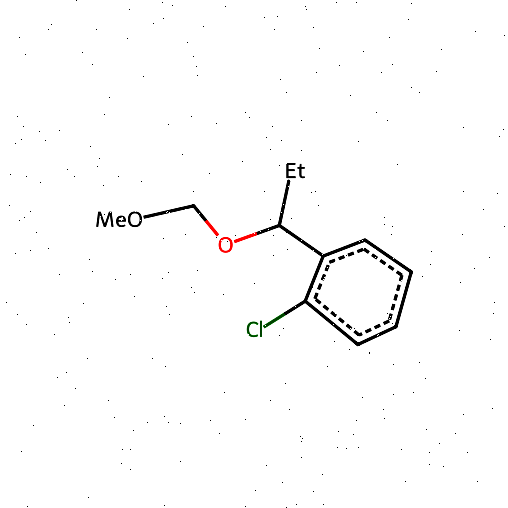 CCC(OCOC)c1ccccc1Cl